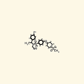 CC(C)CN(C(C)c1ccc(F)cc1)S(=O)(=O)c1ccc(OC2CCN(S(C)(=O)=O)CC2)cc1